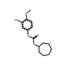 COc1ccc(OC(=O)OC2CCCCCC2)cc1O